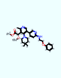 Cc1ncc(-c2ccc(NCCOc3ccccc3)nc2)c(N2CCC(C)(C)CC2)c1[C@H](OC(C)(C)C)C(=O)OC(C)C